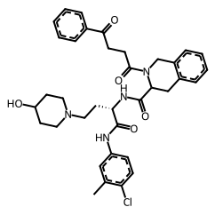 Cc1cc(NC(=O)[C@H](CCN2CCC(O)CC2)NC(=O)C2Cc3ccccc3CN2C(=O)CCC(=O)c2ccccc2)ccc1Cl